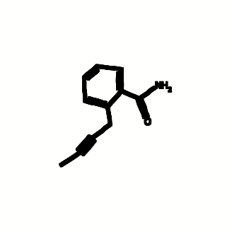 CC#CCc1ccccc1C(N)=O